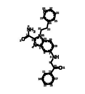 NC(=O)c1nc2cc(NCC(=O)c3ccccc3)ccc2n1CCc1cccnc1